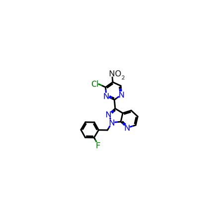 O=[N+]([O-])c1cnc(-c2nn(Cc3ccccc3F)c3ncccc23)nc1Cl